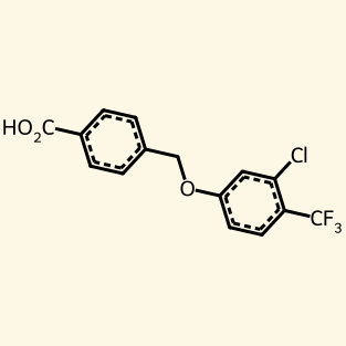 O=C(O)c1ccc(COc2ccc(C(F)(F)F)c(Cl)c2)cc1